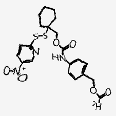 [2H]C(=O)OCc1ccc(NC(=O)OCC2(SSc3ccc([N+](=O)[O-])cn3)CCCCC2)cc1